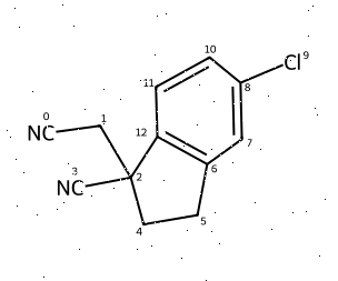 N#CCC1(C#N)CCc2cc(Cl)ccc21